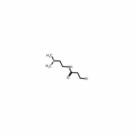 CN(C)CCNC(=O)CC[O]